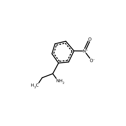 CCC(N)c1cccc([N+](=O)[O-])c1